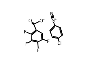 N#[N+]c1ccc(Cl)cc1.O=C([O-])c1cc(F)c(F)c(F)c1F